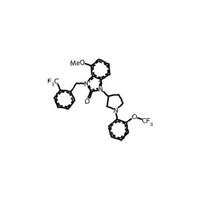 COc1cccc2c1n(Cc1ccccc1C(F)(F)F)c(=O)n2C1CCN(c2ccccc2OC(F)(F)F)C1